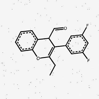 CCC1=C(c2cc(F)cc(F)c2)C(C=O)c2ccccc2O1